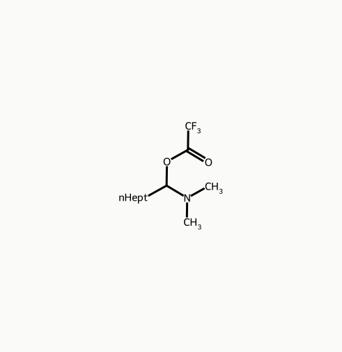 CCCCCCCC(OC(=O)C(F)(F)F)N(C)C